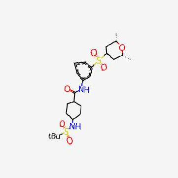 C[C@@H]1CC(S(=O)(=O)c2cccc(NC(=O)C3CCC(NS(=O)(=O)C(C)(C)C)CC3)c2)C[C@H](C)O1